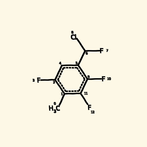 Cc1c(F)cc(C(F)Cl)c(F)c1F